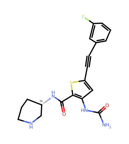 NC(=O)Nc1cc(C#Cc2cccc(F)c2)sc1C(=O)N[C@H]1CCCNC1